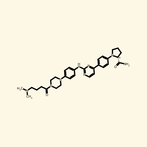 CN(C)CCCC(=O)N1CCN(c2ccc(Nc3nccc(-c4ccc(N5CCC[C@@H]5C(N)=O)cc4)n3)cc2)CC1